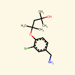 CC(C)(O)CC(C)(C)Oc1ccc(CN)cc1Br